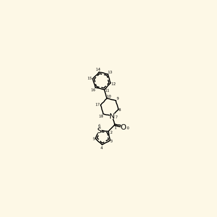 O=C(c1cccs1)N1CCC(c2ccccc2)CC1